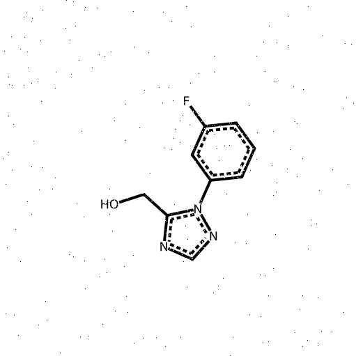 OCc1ncnn1-c1cccc(F)c1